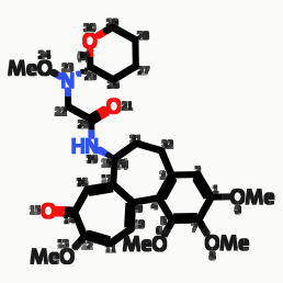 COc1cc2c(c(OC)c1OC)-c1ccc(OC)c(=O)cc1[C@@H](NC(=O)CN(OC)[C@H]1CCCCO1)CC2